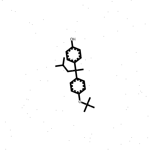 CC(C)CC(C)(c1ccc(O)cc1)c1ccc(OC(C)(C)C)cc1